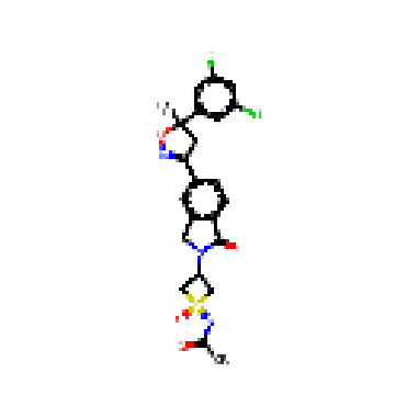 O=C1c2ccc(C3=NOC(c4cc(Cl)cc(Cl)c4)(C(F)(F)F)C3)cc2CN1C1CS(=O)(=NC(=O)C(F)(F)F)C1